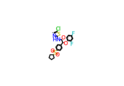 O=C(Nc1n[c]c(Cl)s1)C(Oc1ccc(F)cc1F)c1ccc(S(=O)(=O)C2CCCC2)cc1